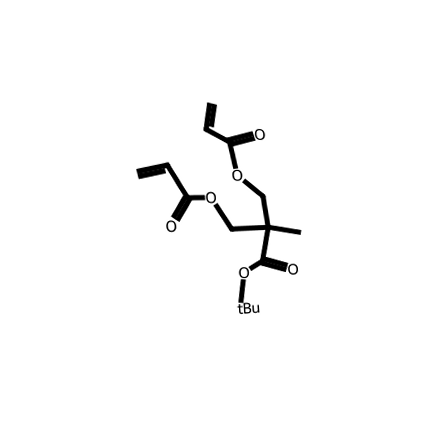 C=CC(=O)OCC(C)(COC(=O)C=C)C(=O)OC(C)(C)C